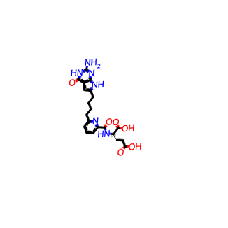 Nc1nc2[nH]c(CCCCc3cccc(C(=O)N[C@@H](CCC(=O)O)C(=O)O)n3)cc2c(=O)[nH]1